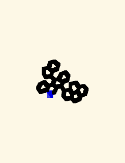 C1=Cc2ccc3ccc(-c4c5ccccc5c(-c5cccc6ccccc56)c5c4cnc4ccccc45)c4c3c2C(=CC4)C1